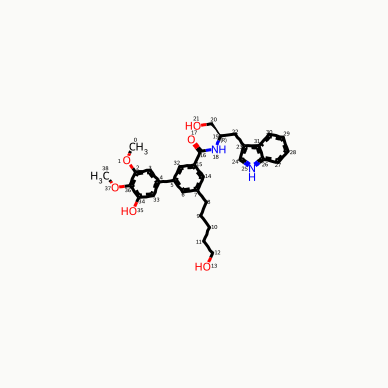 COc1cc(-c2cc(CCCCCO)cc(C(=O)N[C@@H](CO)Cc3c[nH]c4ccccc34)c2)cc(O)c1OC